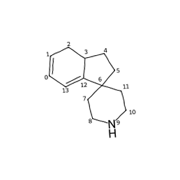 C1=CCC2CCC3(CCNCC3)C2=C1